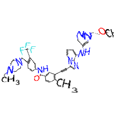 CCN1CCN(Cc2ccc(NC(=O)c3ccc(C)c(C#Cc4cnc5c(Nc6cnn(CCOC)c6)cccn45)c3)cc2C(F)(F)F)CC1